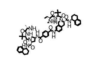 CC[C@H](NC)C(=O)NC(C(=O)N1Cc2cc(NC(=O)c3ccc(C(=O)N[C@H]4C[C@@H](C(=O)N[C@@H]5CCCc6ccccc65)N(C(=O)[C@@H](NC(=O)[C@H](C)NC)C(C)(C)C)C4)cc3)ccc2C[C@H]1C(=O)N[C@@H]1CCCc2ccccc21)C(C)(C)C